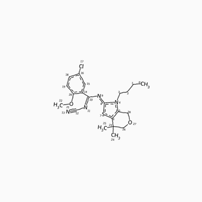 CCCCn1c2c(s/c1=N\C(=NC#N)c1cc(Cl)ccc1OC)C(C)(C)COC2